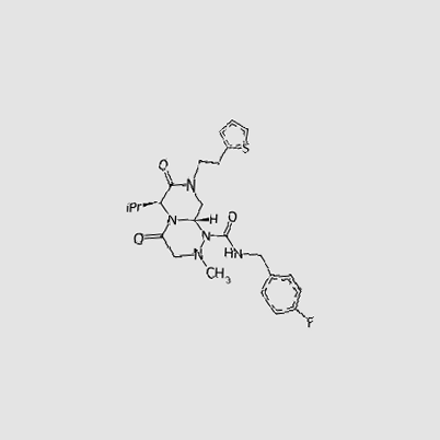 CC(C)[C@H]1C(=O)N(CCc2cccs2)C[C@H]2N1C(=O)CN(C)N2C(=O)NCc1ccc(F)cc1